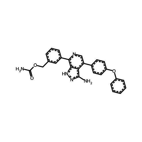 NC(=O)OCc1cccc(-c2ncc(-c3ccc(Oc4ccccc4)cc3)c3c(N)n[nH]c23)c1